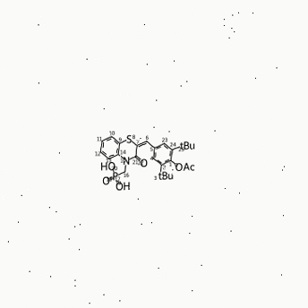 CC(=O)Oc1c(C(C)(C)C)cc(C=C2Sc3ccccc3N(CP(=O)(O)O)C2=O)cc1C(C)(C)C